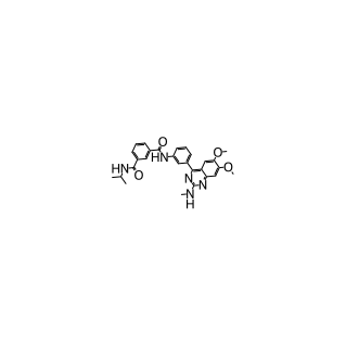 CNc1nc(-c2cccc(NC(=O)c3cccc(C(=O)NC(C)C)c3)c2)c2cc(OC)c(OC)cc2n1